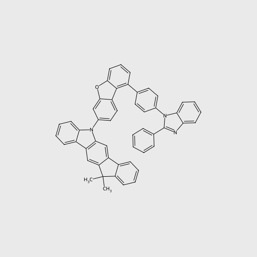 CC1(C)c2ccccc2-c2cc3c(cc21)c1ccccc1n3-c1ccc2c(c1)oc1cccc(-c3ccc(-n4c(-c5ccccc5)nc5ccccc54)cc3)c12